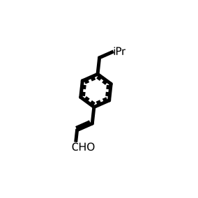 CC(C)Cc1ccc(/C=C/C=O)cc1